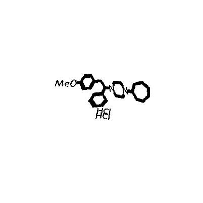 COc1ccc(CC(c2ccccc2)N2CCN(C3CCCCCC3)CC2)cc1.Cl.Cl